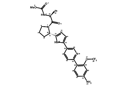 COC(=O)N[C@H](C(=O)N1CCC[C@H]1c1ncc(-c2ccc(-c3ccc(N)cc3OC(F)(F)F)nc2)[nH]1)C(C)C